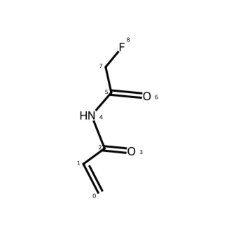 C=CC(=O)NC(=O)CF